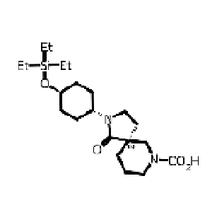 CC[Si](CC)(CC)O[C@H]1CC[C@H](N2CC[C@]3(CCCN(C(=O)O)C3)C2=O)CC1